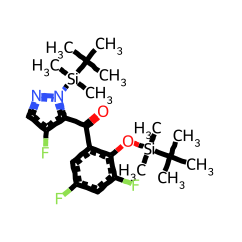 CC(C)(C)[Si](C)(C)Oc1c(F)cc(F)cc1C(=O)c1c(F)cnn1[Si](C)(C)C(C)(C)C